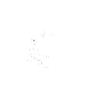 COCC(=O)N1CCC(n2cc(-c3ccc4nc(C)nc(N[C@H](C)c5cccc(C)c5)c4c3)cn2)CC1